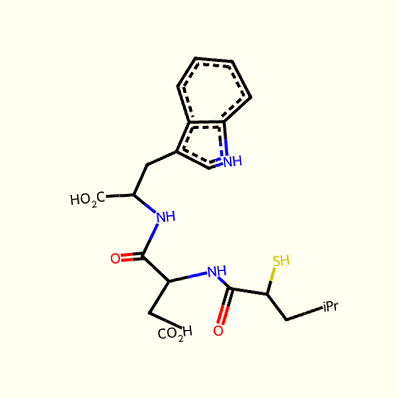 CC(C)CC(S)C(=O)NC(CC(=O)O)C(=O)NC(Cc1c[nH]c2ccccc12)C(=O)O